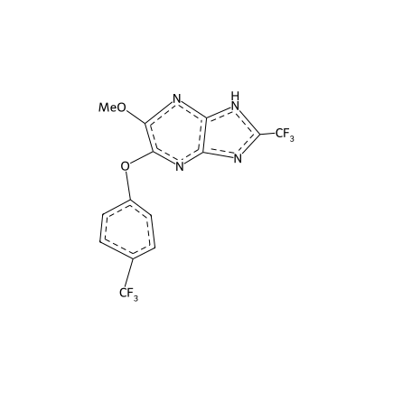 COc1nc2[nH]c(C(F)(F)F)nc2nc1Oc1ccc(C(F)(F)F)cc1